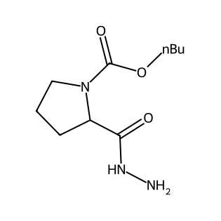 CCCCOC(=O)N1CCCC1C(=O)NN